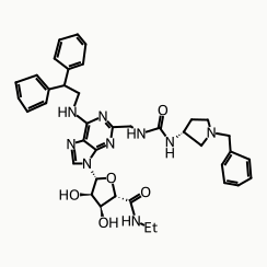 CCNC(=O)[C@H]1O[C@@H](n2cnc3c(NCC(c4ccccc4)c4ccccc4)nc(CNC(=O)N[C@@H]4CCN(Cc5ccccc5)C4)nc32)[C@H](O)[C@@H]1O